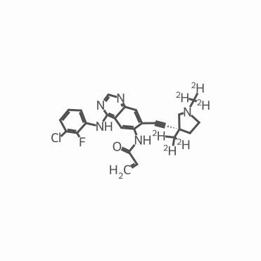 [2H]C([2H])([2H])N1CC[C@@](C#Cc2cc3ncnc(Nc4cccc(Cl)c4F)c3cc2NC(=O)C=C)(C([2H])([2H])[2H])C1